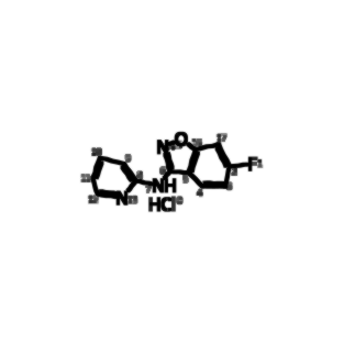 Cl.Fc1ccc2c(Nc3ccccn3)noc2c1